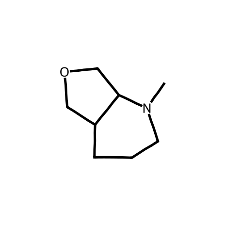 CN1CCCC2COCC21